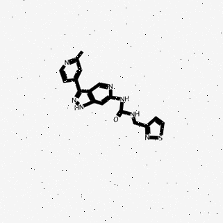 Cc1cc(-c2n[nH]c3cc(NC(=O)NCc4ccsn4)ncc23)ccn1